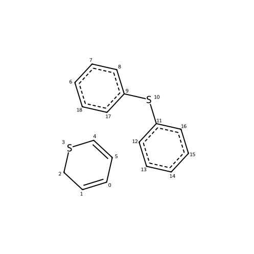 C1=CCSC=C1.c1ccc(Sc2ccccc2)cc1